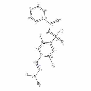 CCN(C)/C=N/c1cc(C)c(S(=O)(CC)=NC(=O)c2ccccc2)cc1Cl